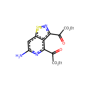 CCOC(=O)C(=O)c1nsc2cc(N)nc(C(=O)C(=O)OCC)c12